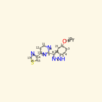 CC(C)Oc1ccc2[nH]nc(-c3nccc(-c4cscn4)n3)c2c1